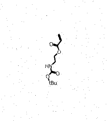 C=CC(=O)OCCNC(=O)OC(C)(C)C